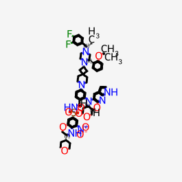 CC[C@@H](c1ccc(F)c(F)c1)N1CCN(C2CC3(CCN(c4ccc(C(=O)NS(=O)(=O)c5cc6c(c([N+](=O)[O-])c5)N[C@H](C5CCOCC5)CO6)c(N5c6cc7cc[nH]c7nc6O[C@H]6COCC[C@@H]65)c4)CC3)C2)[C@H](c2ccccc2OC(C)C)C1